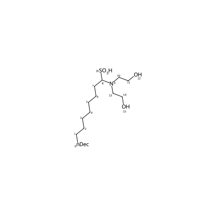 CCCCCCCCCCCCCCCCCC(N(CCO)CCO)S(=O)(=O)O